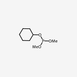 COP(OC)OC1CCCCC1